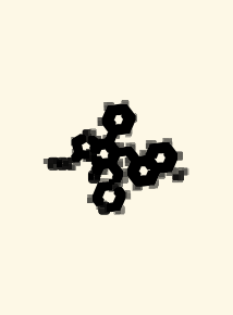 O=C([O-])C1CSc2c(-c3ccccc3)c(Cc3cccc4ccccc34)c(CN3CCOCC3)c(=O)n21.[Li+]